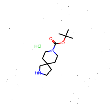 CC(C)(C)OC(=O)N1CCC2(CCNC2)CC1.Cl